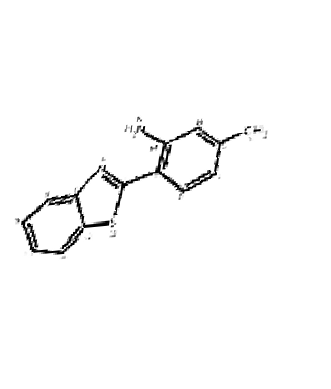 Cc1ccc(-c2nc3ccccc3s2)c(N)c1